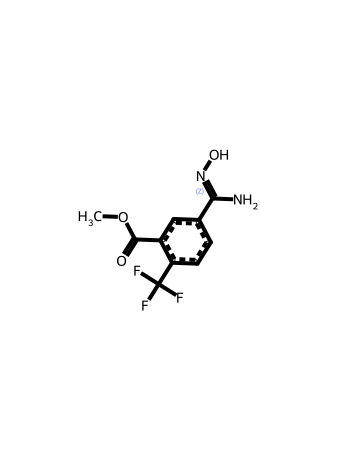 COC(=O)c1cc(/C(N)=N/O)ccc1C(F)(F)F